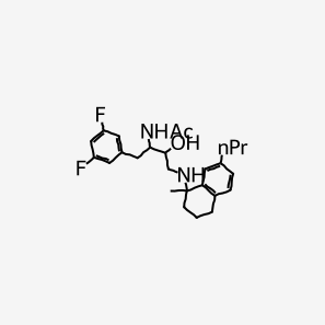 CCCc1ccc2c(c1)C(C)(NCC(O)C(Cc1cc(F)cc(F)c1)NC(C)=O)CCC2